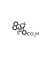 CC1(C)C=CC=C(c2cccc3cccc(NC(=S)c4ccc(C(=O)O)cc4)c23)C1